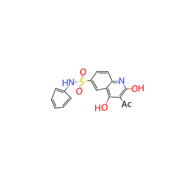 CC(=O)c1c(O)nc2ccc(S(=O)(=O)Nc3ccccc3)cc2c1O